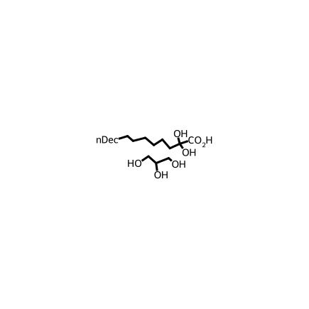 CCCCCCCCCCCCCCCCC(O)(O)C(=O)O.OCC(O)CO